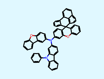 c1ccc(-n2c3ccccc3c3ccc(N(c4ccc5c(c4)Oc4ccccc4C54c5ccccc5-c5cccc6cccc4c56)c4ccc5oc6ccccc6c5c4)cc32)cc1